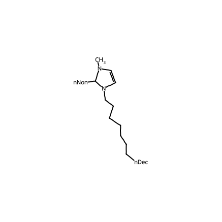 CCCCCCCCCCCCCCCCCN1C=CN(C)C1CCCCCCCCC